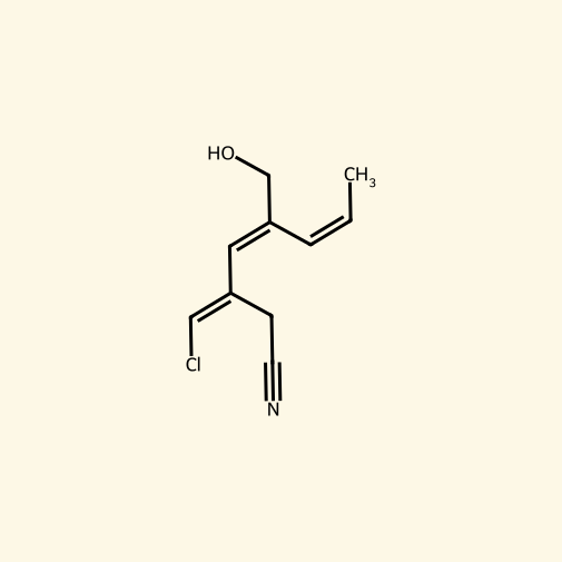 C\C=C/C(=C\C(=C\Cl)CC#N)CO